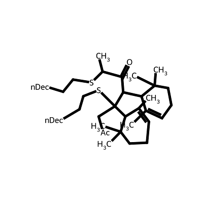 CCCCCCCCCCCCSC(C)C(=O)C(C1C(C)=CCCC1(C)C)C(CC(C)=O)(SCCCCCCCCCCCC)C1C(C)=CCCC1(C)C